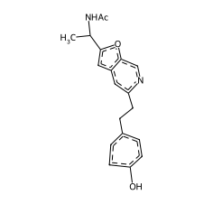 CC(=O)NC(C)c1cc2cc(CCc3ccc(O)cc3)ncc2o1